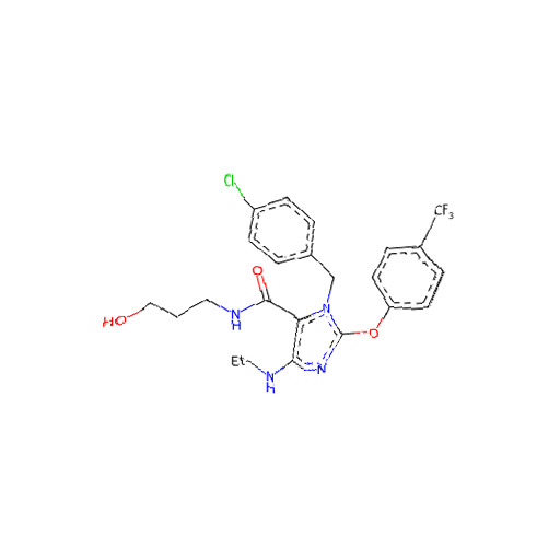 CCNc1nc(Oc2ccc(C(F)(F)F)cc2)n(Cc2ccc(Cl)cc2)c1C(=O)NCCCO